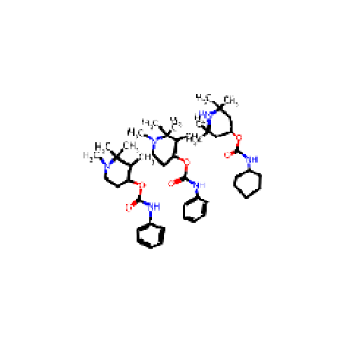 CC1(C)CC(OC(=O)NC2CCCCC2)CC(C)(C)N1.CC1C(OC(=O)Nc2ccccc2)CCN(C)C1(C)C.CC1C(OC(=O)Nc2ccccc2)CCN(C)C1(C)C